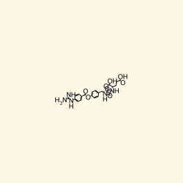 N=C(N)Nc1ccc(C(=O)Oc2ccc(CNS(=O)(=O)NC(CCC(=O)O)C(=O)O)cc2)cc1